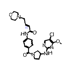 COc1nc(NC2CCN(C(=O)c3ccc(NC(=O)/C=C/CN4CCOCC4)cc3)C2)ncc1Cl